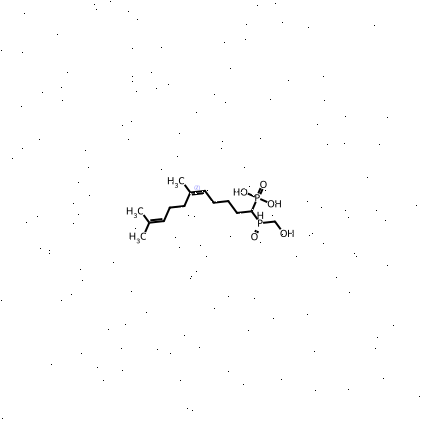 CC(C)=CCC/C(C)=C\CCCC([PH](=O)CO)P(=O)(O)O